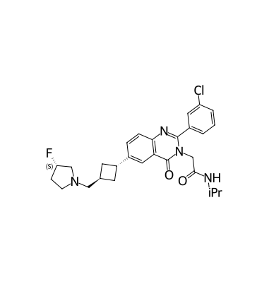 CC(C)NC(=O)Cn1c(-c2cccc(Cl)c2)nc2ccc([C@H]3C[C@H](CN4CC[C@H](F)C4)C3)cc2c1=O